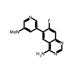 CNc1cncc(-c2cc3c(N)ncnc3cc2F)c1